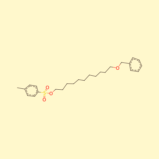 Cc1ccc(S(=O)(=O)OCCCCCCCCCCCOCc2ccccc2)cc1